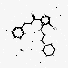 Cc1csc(C(=O)CCc2ccccc2)c1OCCN1CCCCC1.Cl